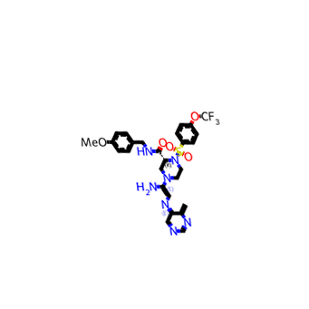 C=C1N=CN=C/C1=N/C=C(\N)N1CCN(S(=O)(=O)c2ccc(OC(F)(F)F)cc2)[C@@H](C(=O)NCc2ccc(OC)cc2)C1